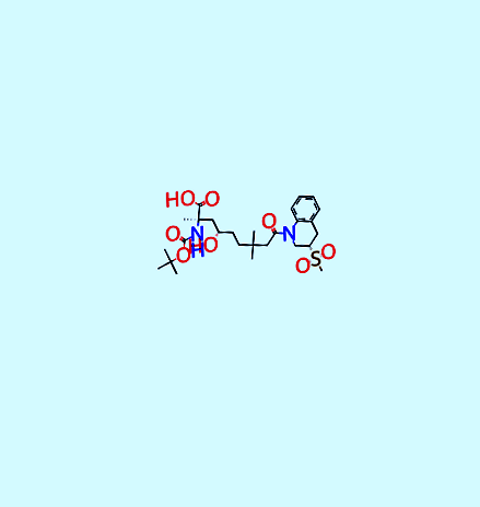 CC(C)(CC[C@H](O)C[C@@](C)(NC(=O)OC(C)(C)C)C(=O)O)CC(=O)N1C[C@@H](S(C)(=O)=O)Cc2ccccc21